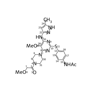 COCC(=O)N1CCN(c2nc(Sc3ccc(NC(C)=O)cc3)nc(Nc3cc(C)[nH]n3)c2OC)CC1